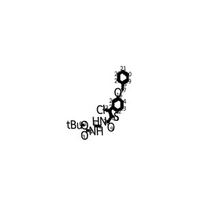 CC(C)(C)OC(=O)NCCNC(=O)c1sc2ccc(OCc3ccccc3)cc2c1Cl